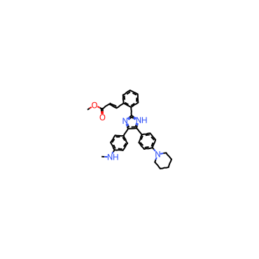 CNc1ccc(-c2nc(-c3ccccc3/C=C/C(=O)OC)[nH]c2-c2ccc(N3CCCCC3)cc2)cc1